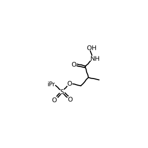 CC(COS(=O)(=O)C(C)C)C(=O)NO